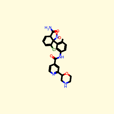 Cc1ccc(NC(=O)c2ccnc(C3CNCCO3)c2)cc1C1([N+](=O)[O-])C(Cl)=CC=CC1C(N)=O